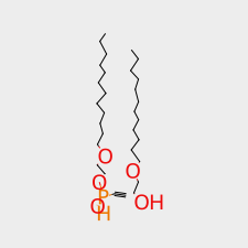 C#C[PH](=O)OCCOCCCCCCCCCCCC.CCCCCCCCCCCCOCCO